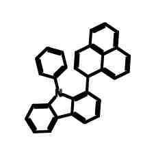 C1=CC(c2cccc3c4ccccc4n(-c4ccccc4)c23)c2cccc3cccc1c23